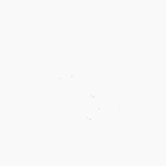 C/C(C#N)=N/OS(=O)(=O)c1ccc(C)cc1